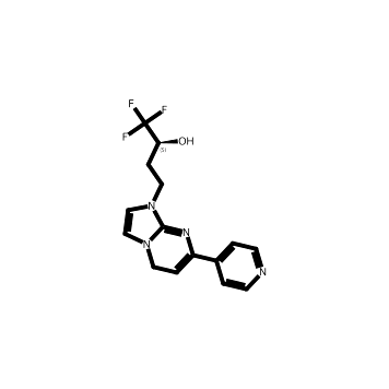 O[C@@H](CCN1C=CN2CC=C(c3ccncc3)N=C21)C(F)(F)F